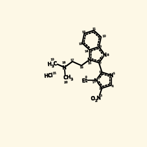 CCn1c([N+](=O)[O-])cnc1-c1nc2ccccc2n1CCN(C)C.Cl